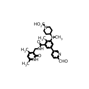 Cc1cc(C)c(CNC(=O)c2cc(-c3ccc(C=O)nc3)cc(N(C)C3CCN(C(=O)O)CC3)c2C)c(=O)[nH]1